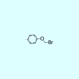 BrCOc1cc[c]cc1